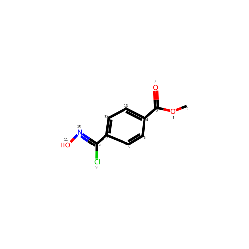 COC(=O)c1ccc(C(Cl)=NO)cc1